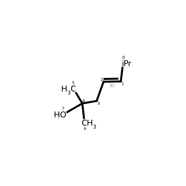 CC(C)/C=C/CC(C)(C)O